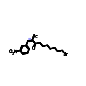 CC(=O)/C(=C/c1cccc([N+](=O)[O-])c1)C(=O)CCCCCCCBr